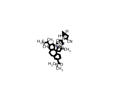 C=C(c1ccc2c(c1)CCc1cc(C(=O)N(C)C)ccc1C2(C[C@H](C)NCC(=O)N1C(C#N)C[C@@H]2C[C@@H]21)/C(N)=N/NC)N(C)C